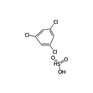 Clc1cc(Cl)cc(Cl)c1.O=[SH](=O)O